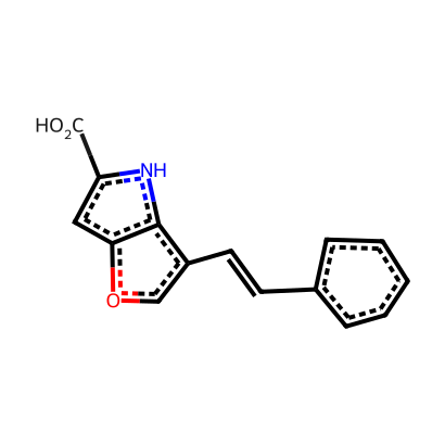 O=C(O)c1cc2occ(C=Cc3ccccc3)c2[nH]1